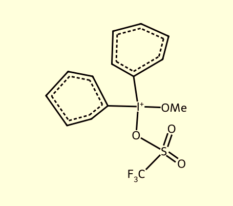 CO[I+](OS(=O)(=O)C(F)(F)F)(c1ccccc1)c1ccccc1